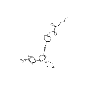 CC=CCCC(=O)C(=O)CN1CCC(C#Cc2cc(-c3cnc(N)nc3)nc(N3CCOCC3)c2)CC1